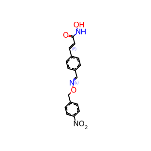 O=C(/C=C/c1ccc(/C=N/OCc2ccc([N+](=O)[O-])cc2)cc1)NO